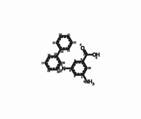 Nc1cc(N)cc(C(=O)O)c1.c1ccc(-c2ccccc2)cc1